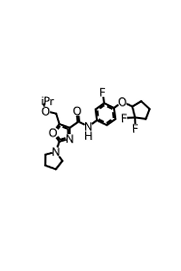 CC(C)OCc1oc(N2CCCC2)nc1C(=O)Nc1ccc(OC2CCCC2(F)F)c(F)c1